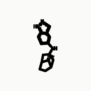 CCCN1C2CCC1CC(Nc1ccc3[nH]ncc3c1)C2